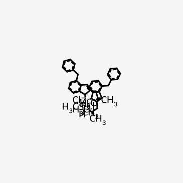 CC(C)CC1=Cc2c(Cc3ccccc3)cccc2[CH]1[Zr]([Cl])([Cl])([CH]1C(CC(C)C)=Cc2c(Cc3ccccc3)cccc21)[SiH](C)C